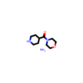 N.O=C(C1CCNCC1)N1CCOCC1